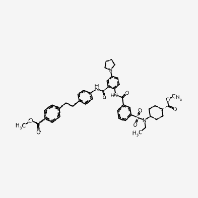 CCN([C@H]1CC[C@H](C(=O)OC)CC1)S(=O)(=O)c1cccc(C(=O)Nc2ccc(N3CCCC3)cc2C(=O)Nc2ccc(CCc3ccc(C(=O)OC)cc3)cc2)c1